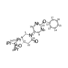 CC(C)[Si](O[C@@H]1CCN(c2cnc(Oc3ccccc3)nc2)C(=O)C1)(C(C)C)C(C)C